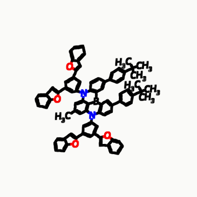 Cc1cc2c3c(c1)N(c1cc(-c4cc5ccccc5o4)cc(-c4cc5ccccc5o4)c1)c1ccc(-c4ccc(C(C)(C)C)cc4)cc1B3c1cc(-c3ccc(C(C)(C)C)cc3)ccc1N2c1cc(-c2cc3ccccc3o2)cc(-c2cc3ccccc3o2)c1